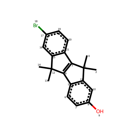 CC1(C)C2=C(c3ccc(O)cc31)C(C)(C)c1cc(Br)ccc12